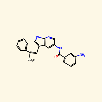 Nc1cccc(C(=O)Nc2cnc3[nH]cc(C=C(C(=O)O)c4ccccc4)c3c2)c1